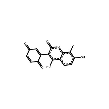 Cc1c(O)ccc2c(O)c(C3=CC(=O)C=CC3=O)c(=O)oc12